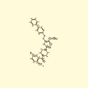 CC(C)(C)OC(=O)N(CCc1ccc(-c2ccccc2)cc1)CC(=O)N1CCN(C(=O)c2cc(F)ccc2C(F)(F)F)CC1